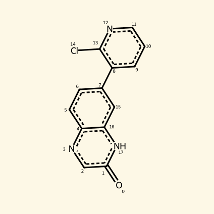 O=c1cnc2ccc(-c3cccnc3Cl)cc2[nH]1